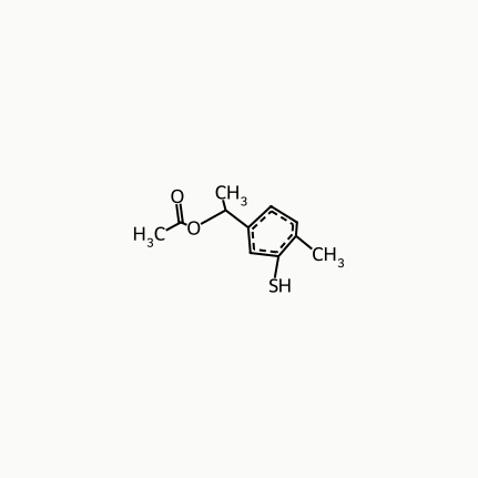 CC(=O)OC(C)c1ccc(C)c(S)c1